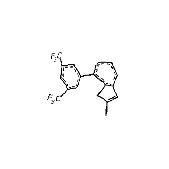 CC1=Cc2cccc(-c3cc(C(F)(F)F)cc(C(F)(F)F)c3)c2C1